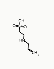 C=CCNCCS(=O)(=O)O